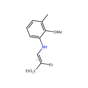 CCOC(=O)/C(=C/Nc1cccc(C)c1OC)CC